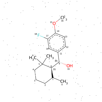 CC1CCCC(C)(C)[C@H]1[C@@H](O)c1ccc(OC(F)(F)F)c(F)c1